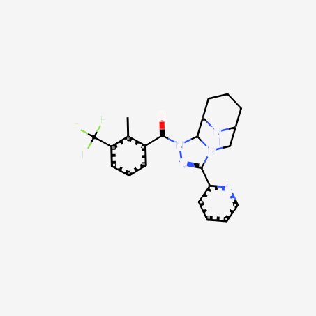 Cc1c(C(=O)N2N=C(c3ccccn3)N3CC4CCCC(N4)C32)cccc1C(F)(F)F